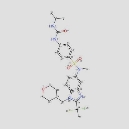 CC(C)NC(=O)Nc1ccc(S(=O)(=O)N(C)c2ccc3c(c2)nc(C(C)(F)F)n3CC2CCOCC2)cc1